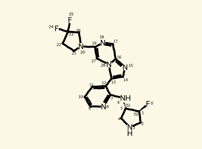 F[C@H]1CNC[C@@H]1Nc1ncccc1-c1cnc2cnc(N3CCC(F)(F)C3)cn12